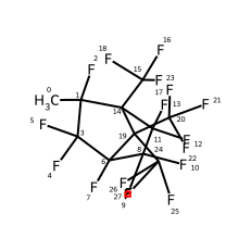 CC1(F)C(F)(F)C2(F)C(F)(F)C(F)(F)C1(C(F)(F)F)C2(C(F)(F)F)C(F)(F)F